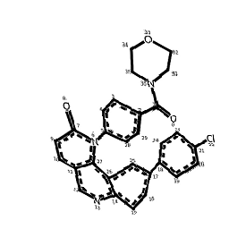 O=C(c1ccc(-n2c(=O)ccc3cnc4ccc(-c5ccc(Cl)cc5)cc4c32)cc1)N1CCOCC1